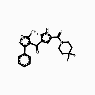 Cc1onc(-c2ccccc2)c1C(=O)c1c[nH]c(C(=O)N2CCC(F)(F)CC2)c1